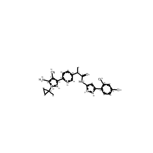 CC(C(=O)Nc1cc(-c2ccc(Cl)cc2Cl)no1)c1ccc(-c2nn(C3(C)CC3)c(N)c2C#N)nc1